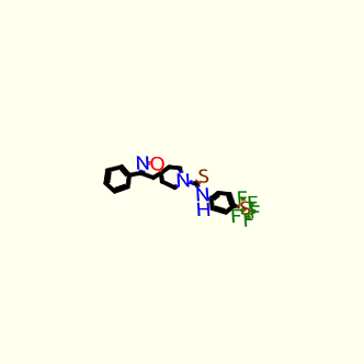 FS(F)(F)(F)(F)c1ccc(NC(=S)N2CCC3(CC2)CC(c2ccccc2)=NO3)cc1